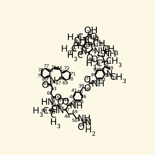 CNC(C(=O)N[C@H](C(=O)N(C)C(/C=C(\C)C(=O)O)C(C)C)C(C)(C)C)C(C)(C)c1cn(C)c2cc(NC(=O)OCc3ccc(NC(=O)C(CCCNC(N)=O)NC(=O)[C@@H](NC(=O)CCC(=O)N4Cc5ccccc5C#Cc5ccccc54)C(C)C)cc3)ccc12